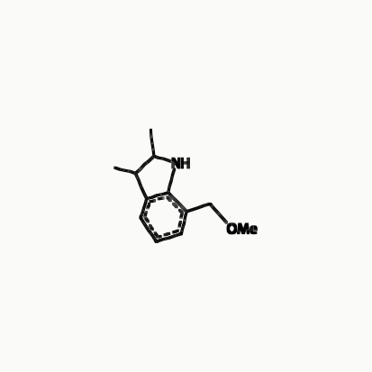 COCc1cccc2c1NC(C)C2C